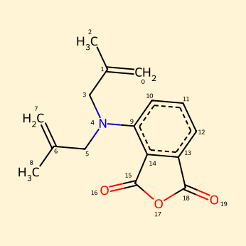 C=C(C)CN(CC(=C)C)c1cccc2c1C(=O)OC2=O